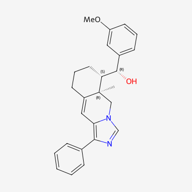 COc1cccc([C@H](O)[C@H]2CCCC3=Cc4c(-c5ccccc5)ncn4C[C@@]32C)c1